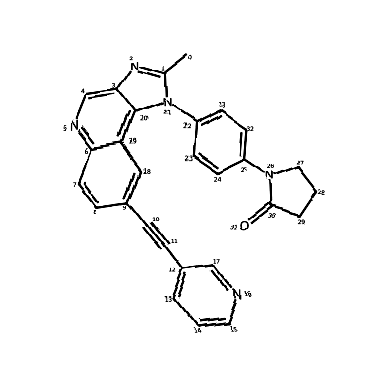 Cc1nc2cnc3ccc(C#Cc4cccnc4)cc3c2n1-c1ccc(N2CCCC2=O)cc1